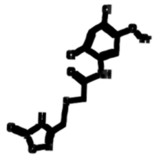 CC(C)Oc1cc(NC(=O)CSCC2=NOS(=O)N2)c(Cl)cc1Cl